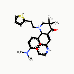 CN(C)c1ccc(C2/C(=C\c3ccccn3)C(=O)C(C)(C)CN2CCc2cccs2)cc1